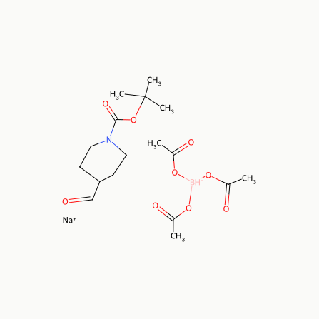 CC(=O)O[BH-](OC(C)=O)OC(C)=O.CC(C)(C)OC(=O)N1CCC(C=O)CC1.[Na+]